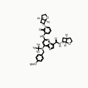 [2H]C([2H])([2H])N(Cc1ccc(OC)cc1)c1cc(Nc2cccn([C@@H]3C[C@H]4CCO[C@H]43)c2=O)nn2c(C(=O)N[C@@H]3C[C@H]4CCO[C@H]43)cnc12